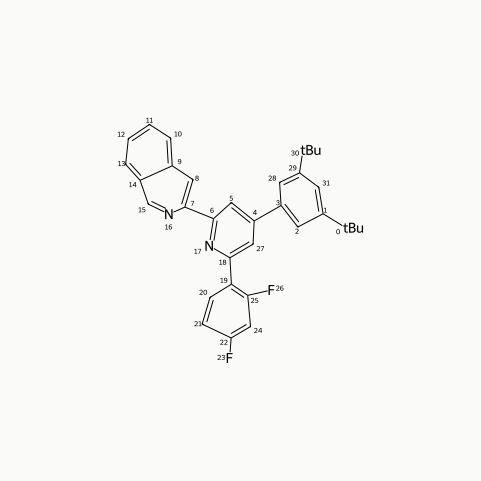 CC(C)(C)c1cc(-c2cc(-c3cc4ccccc4cn3)nc(-c3ccc(F)cc3F)c2)cc(C(C)(C)C)c1